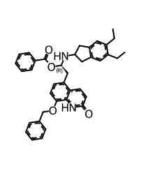 CCc1cc2c(cc1CC)CC(N[C@@H](Cc1ccc(OCc3ccccc3)c3[nH]c(=O)ccc13)OC(=O)c1ccccc1)C2